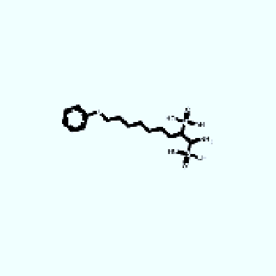 NC(C(CCCCCCCSc1ccccc1)P(=O)(O)O)P(=O)(O)O